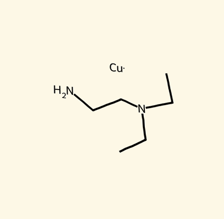 CCN(CC)CCN.[Cu]